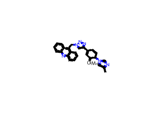 COC1C=C(c2cn(Cc3c4ccccc4nc4ccccc34)nn2)C=CC1n1cnc(C)c1